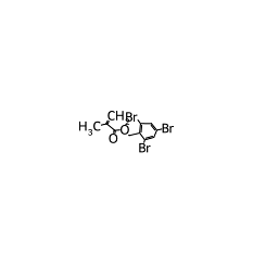 C=C(C)C(=O)OCc1c(Br)cc(Br)cc1Br